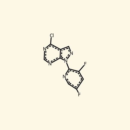 Fc1cnc(-n2ncc3c(Cl)ncnc32)c(F)c1